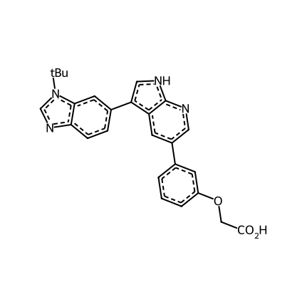 CC(C)(C)n1cnc2ccc(-c3c[nH]c4ncc(-c5cccc(OCC(=O)O)c5)cc34)cc21